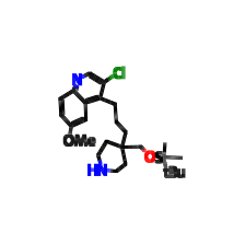 COc1ccc2ncc(Cl)c(CCCC3(CO[Si](C)(C)C(C)(C)C)CCNCC3)c2c1